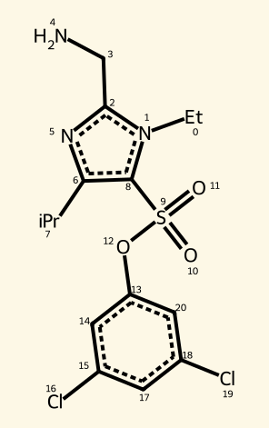 CCn1c(CN)nc(C(C)C)c1S(=O)(=O)Oc1cc(Cl)cc(Cl)c1